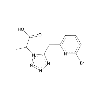 CC(C(=O)O)n1nnnc1Cc1cccc(Br)n1